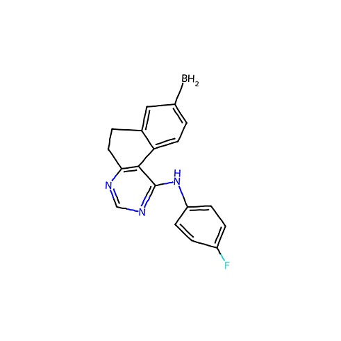 Bc1ccc2c(c1)CCc1ncnc(Nc3ccc(F)cc3)c1-2